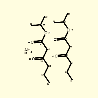 CCCC(=O)CC(=O)OC(C)C.CCCC(=O)CC(=O)OC(C)C.[AlH3]